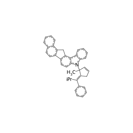 CC(C)/C(=C1/CC=CC1(C)n1c2ccccc2c2c3c(ccc21)-c1ccc2ccccc2c1C3)c1ccccc1